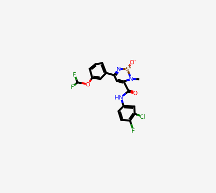 CN1C(C(=O)Nc2ccc(F)c(Cl)c2)=CC(c2cccc(OC(F)F)c2)=N[S+]1[O-]